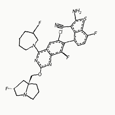 N#Cc1c(N)sc2c(F)ccc(-c3c(Cl)cc4c(N5CCCCC(F)C5)nc(OC[C@@]56CCCN5C[C@H](F)C6)nc4c3F)c12